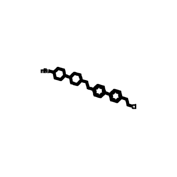 CCCCC1CCC(C2CCC(CCc3ccc(-c4ccc(CCCl)cc4)cc3)CC2)CC1